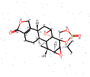 CC(C)[C@]12O[C@H]1[C@@H]1C[C@]13[C@]1(OC1C[C@H]1C4=C(CC[C@@]13C)C(=O)OC4)[C@]21COS(=O)O1